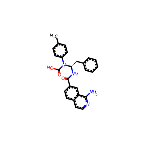 Cc1ccc(N(C(=O)O)[C@H](Cc2ccccc2)NC(=O)c2ccc3ccnc(N)c3c2)cc1